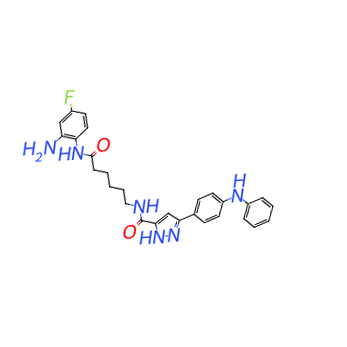 Nc1cc(F)ccc1NC(=O)CCCCCNC(=O)c1cc(-c2ccc(Nc3ccccc3)cc2)n[nH]1